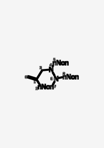 C=C(C)CN(CCCCCCCCC)N(CCCCCCCCC)CCCCCCCCC